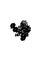 COC(=O)N[C@H](C(=O)N[C@@H](Cc1ccc(-c2ccccn2)cc1)[C@@H](O)C[C@H](Cc1ccccc1)N(C(=O)O)[C@@H]1CO[C@@H]2OCC[C@@H]21)C(C)(C)C